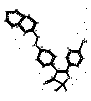 CC1(C)OC(c2ccc(O)nc2)=C(c2ccc(OCc3ccc4ccccc4n3)cc2)C1=O